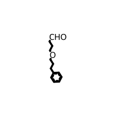 O=CCCCOCCCc1ccccc1